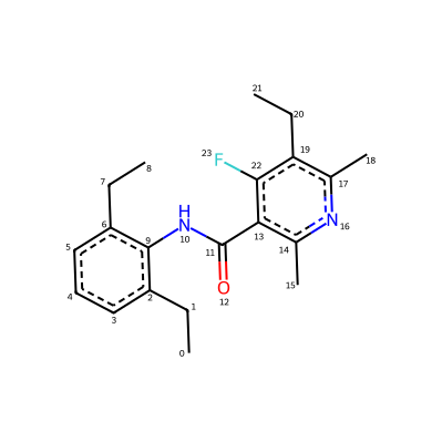 CCc1cccc(CC)c1NC(=O)c1c(C)nc(C)c(CC)c1F